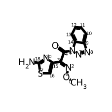 CON=C(C(=O)n1nnc2ccccc21)c1csc(N)n1